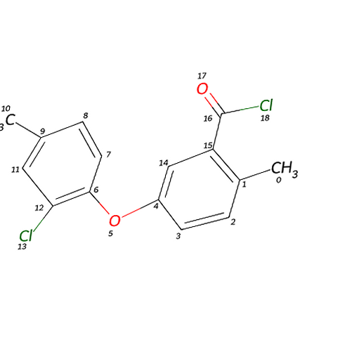 Cc1ccc(Oc2ccc(C(F)(F)F)cc2Cl)cc1C(=O)Cl